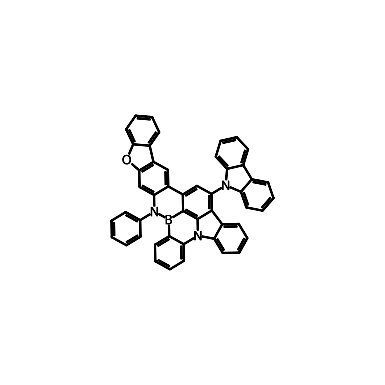 c1ccc(N2B3c4ccccc4-n4c5ccccc5c5c(-n6c7ccccc7c7ccccc76)cc(c3c54)-c3cc4c(cc32)oc2ccccc24)cc1